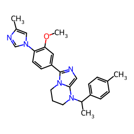 COc1cc(-c2ncc3n2CCCN3C(C)c2ccc(C)cc2)ccc1-n1cnc(C)c1